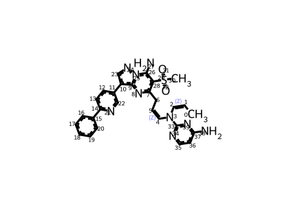 C/C=C\N(/C=C\Cc1nc2c(-c3ccc(-c4ccccc4)nc3)cnn2c(N)c1S(C)(=O)=O)c1nccc(N)n1